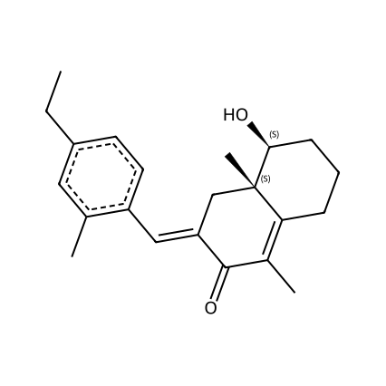 CCc1ccc(C=C2C[C@@]3(C)C(=C(C)C2=O)CCC[C@@H]3O)c(C)c1